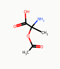 CC(=O)OC(C)(N)C(=O)O